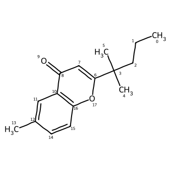 CCCC(C)(C)c1cc(=O)c2cc(C)ccc2o1